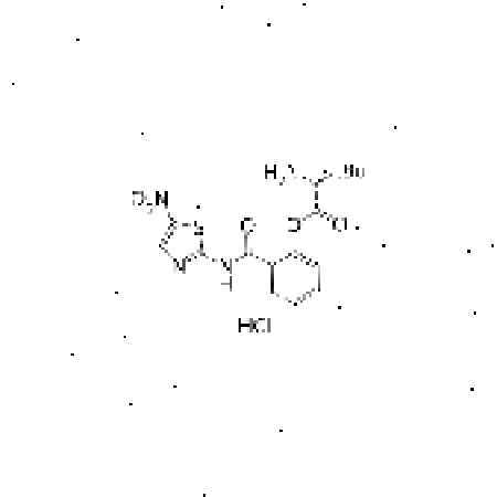 CC(C)(C)C(N)C(=O)Oc1ccccc1C(=O)Nc1ncc([N+](=O)[O-])s1.Cl